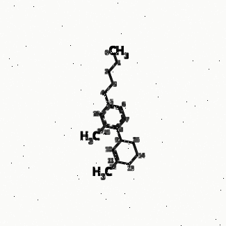 CCCCCc1ccc(C2C=C(C)CCC2)c(C)c1